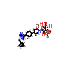 CC(CCn1ccc(-c2ccc(-c3cn(CC45CCC(C4)C5)nn3)cc2)cc1=O)(C(=O)NO)S(C)(=O)=O